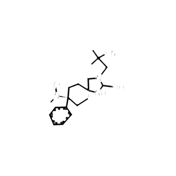 CCN(C)[C@]1(c2ccccc2)CC[C@]2(CC1)CN(CC(C)(C)C#N)C(O)N2